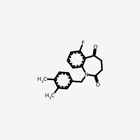 Cc1ccc(CN2C(=O)CCC(=O)c3c(F)cccc32)cc1C